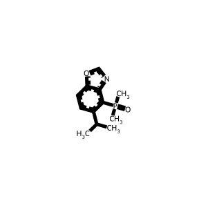 CC(C)c1ccc2ocnc2c1P(C)(C)=O